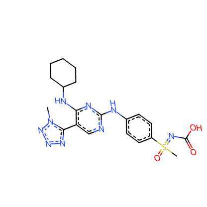 Cn1nnnc1-c1cnc(Nc2ccc(S(C)(=O)=NC(=O)O)cc2)nc1NC1CCCCC1